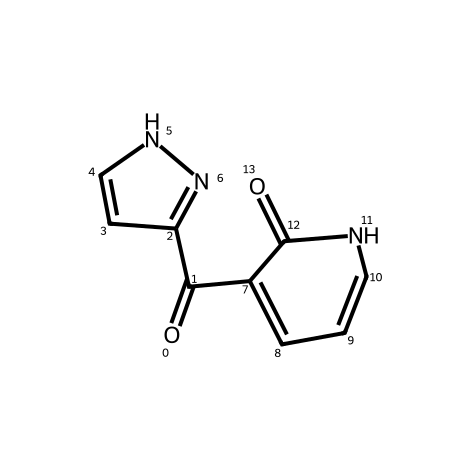 O=C(c1cc[nH]n1)c1ccc[nH]c1=O